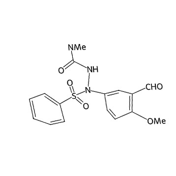 CNC(=O)NN(c1ccc(OC)c(C=O)c1)S(=O)(=O)c1ccccc1